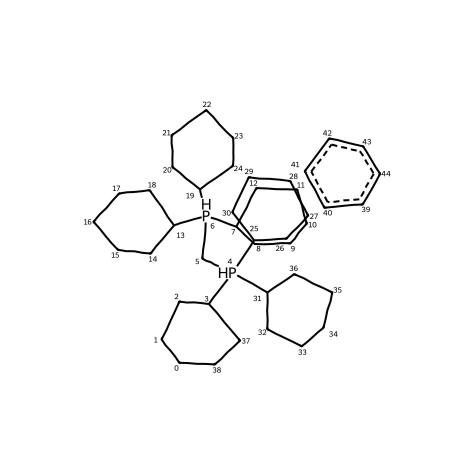 C1CCC([PH](C[PH](C2CCCCC2)(C2CCCCC2)C2CCCCC2)(C2CCCCC2)C2CCCCC2)CC1.c1ccccc1